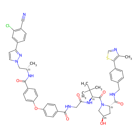 Cc1ncsc1-c1ccc(CNC(=O)[C@@H]2C[C@@H](O)CN2C(=O)[C@@H](NC(=O)CNC(=O)c2ccc(Oc3ccc(C(=O)N[C@@H](C)Cn4ccc(-c5ccc(C#N)c(Cl)c5)n4)cc3)cc2)C(C)(C)C)cc1